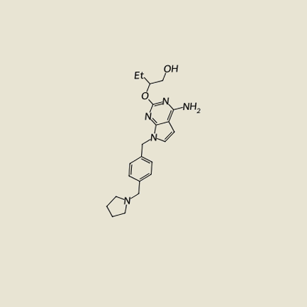 CCC(CO)Oc1nc(N)c2ccn(Cc3ccc(CN4CCCC4)cc3)c2n1